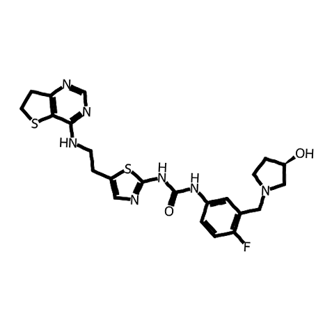 O=C(Nc1ccc(F)c(CN2CC[C@@H](O)C2)c1)Nc1ncc(CCNc2ncnc3c2SCC3)s1